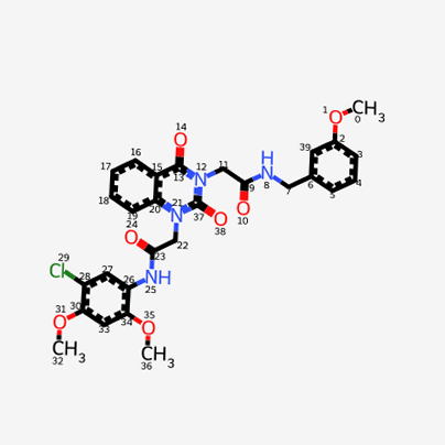 COc1cccc(CNC(=O)Cn2c(=O)c3ccccc3n(CC(=O)Nc3cc(Cl)c(OC)cc3OC)c2=O)c1